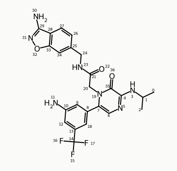 CC(C)Nc1ncc(-c2cc(N)cc(C(F)(F)F)c2)n(CC(=O)NCc2ccc3c(N)noc3c2)c1=O